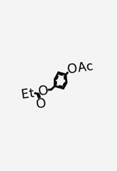 CCC(=O)OCc1ccc(OC(C)=O)cc1